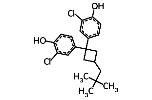 CC(C)(C)CC1CC(c2ccc(O)c(Cl)c2)(c2ccc(O)c(Cl)c2)C1